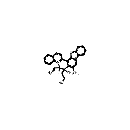 C=CC1(C)[n+]2c(ccc3ccccc32)-c2c(c(C)cc3c2oc2ccccc23)C1(C)CCO